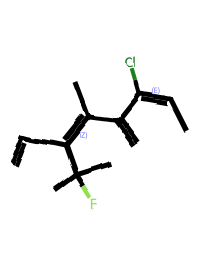 C=C/C(=C(\C)C(=C)/C(Cl)=C\C)C(C)(C)F